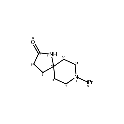 CC(C)N1CCC2(CCC(=O)N2)CC1